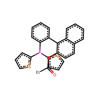 CCC(=O)Oc1ccc2ccccc2c1-c1ccccc1P(c1cccs1)c1cccs1